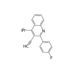 C#Cc1c(-c2ccc(F)cc2)nc2ccccc2c1C(C)C